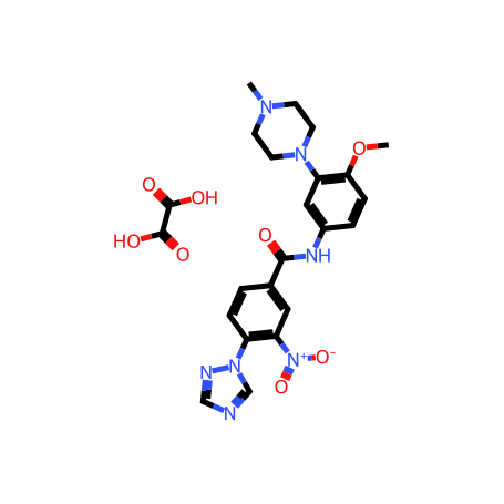 COc1ccc(NC(=O)c2ccc(-n3cncn3)c([N+](=O)[O-])c2)cc1N1CCN(C)CC1.O=C(O)C(=O)O